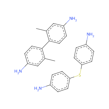 Cc1cc(N)ccc1-c1ccc(N)cc1C.Nc1ccc(Sc2ccc(N)cc2)cc1